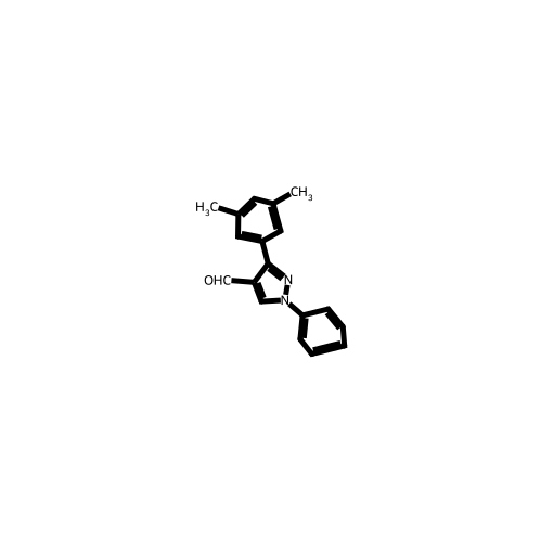 Cc1cc(C)cc(-c2nn(-c3ccccc3)cc2C=O)c1